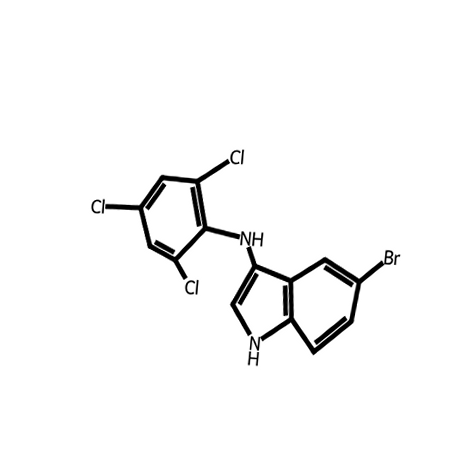 Clc1cc(Cl)c(Nc2c[nH]c3ccc(Br)cc23)c(Cl)c1